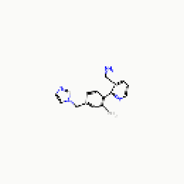 NCc1cccnc1-c1ccc(Cn2ccnc2)cc1[N+](=O)[O-]